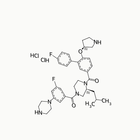 CC(C)C[C@H]1CN(C(=O)c2cc(F)cc(N3CCNCC3)c2)CCN1C(=O)c1ccc(O[C@H]2CCNC2)c(-c2ccc(F)cc2)c1.Cl.Cl